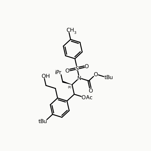 CC(=O)OC(c1ccc(C(C)(C)C)cc1CCO)[C@@H](CC(C)C)N(C(=O)OC(C)(C)C)S(=O)(=O)c1ccc(C)cc1